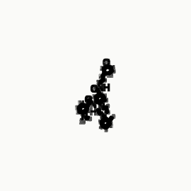 Cc1ccccc1N1CCN(c2ccc(C(=O)NCCCC3CCCC(=O)C3)cc2NC(=O)c2cccc(N(C)C)c2)CC1